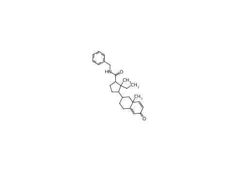 CCC1(C)C(C(=O)NCc2ccccc2)CCC1C1CCC2=CC(=O)C=CC2(C)C1